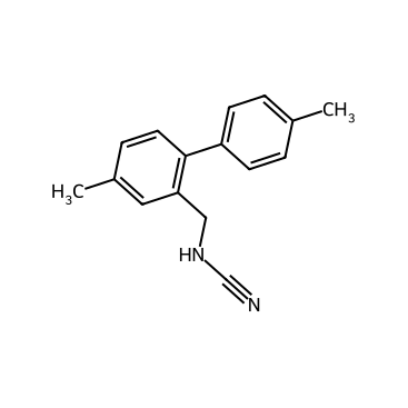 Cc1ccc(-c2ccc(C)cc2CNC#N)cc1